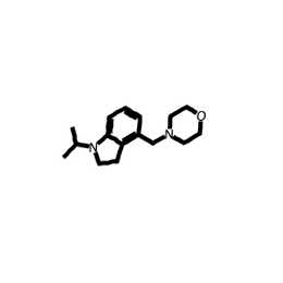 CC(C)N1CCc2c(CN3CCOCC3)cccc21